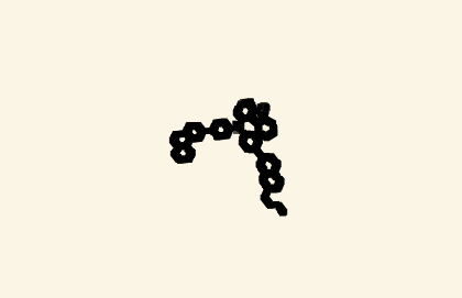 C=C/C=C\c1ccc2ccc(-c3ccc(N(c4ccc(-c5ccc6ccc7ccccc7c6c5)cc4)c4cccc5oc6ccccc6c45)cc3)cc2c1